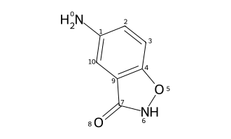 Nc1ccc2o[nH]c(=O)c2c1